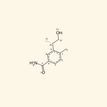 Cc1ccc(C(N)=O)cc1[C@H](C)CO